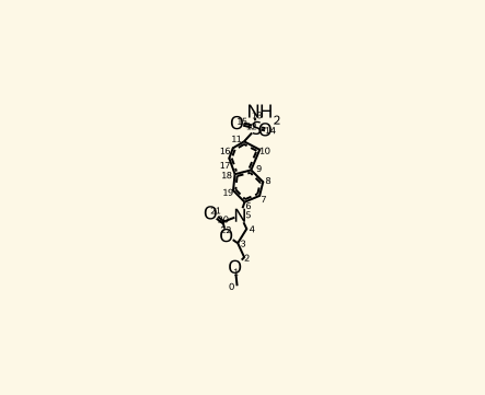 COCC1CN(c2ccc3cc(S(N)(=O)=O)ccc3c2)C(=O)O1